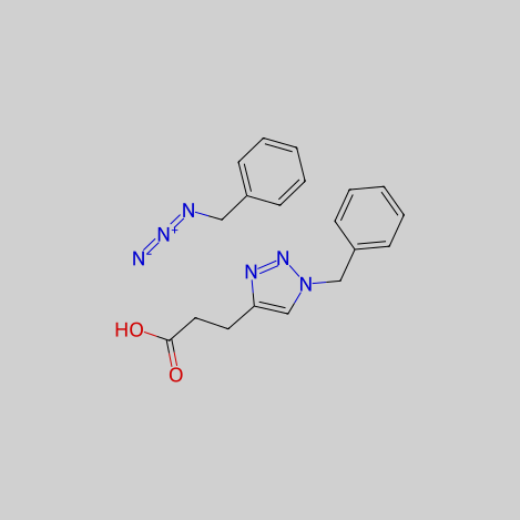 O=C(O)CCc1cn(Cc2ccccc2)nn1.[N-]=[N+]=NCc1ccccc1